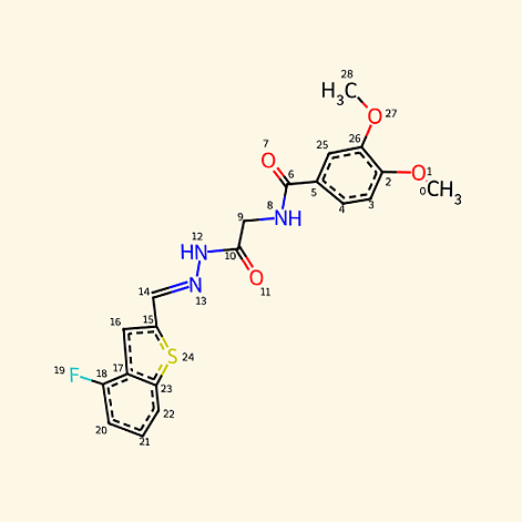 COc1ccc(C(=O)NCC(=O)N/N=C/c2cc3c(F)cccc3s2)cc1OC